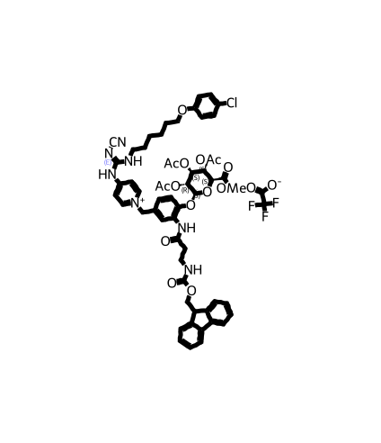 COC(=O)[C@H]1O[C@@H](Oc2ccc(C[n+]3ccc(N/C(=N/C#N)NCCCCCCOc4ccc(Cl)cc4)cc3)cc2NC(=O)CCNC(=O)OCC2c3ccccc3-c3ccccc32)[C@H](OC(C)=O)[C@@H](OC(C)=O)[C@@H]1OC(C)=O.O=C([O-])C(F)(F)F